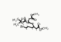 COC(=O)CC(CCCBr)CC(CC(=O)OC)NC(=O)OC(C)(C)C